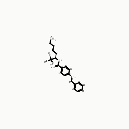 CCCCC[C@@H](OC(=O)c1ccc(OCc2ccccc2)cc1)C(F)(F)F